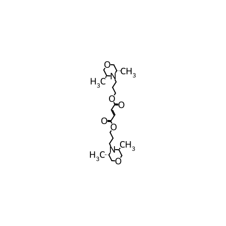 C[C@H]1COC[C@H](C)N1CCCOC(=O)/C=C/C(=O)OCCCN1[C@@H](C)COC[C@@H]1C